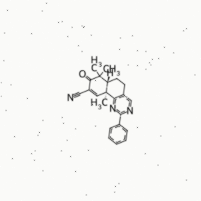 CC1(C)C(=O)C(C#N)=C[C@]2(C)c3nc(-c4ccccc4)ncc3CC[C@@H]12